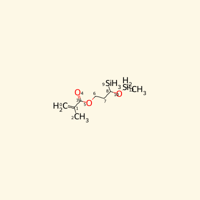 C=C(C)C(=O)OCCC([SiH3])O[SiH2]C